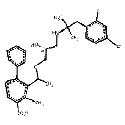 Cc1c(C(=O)O)ccc(-c2ccccc2)c1C(C)OC[C@H](O)CNC(C)(C)Cc1ccc(Cl)cc1F